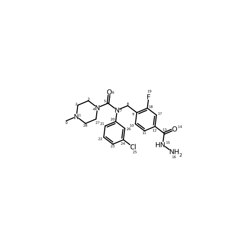 CN1CCN(C(=O)N(Cc2ccc(C(=O)NN)cc2F)c2cccc(Cl)c2)CC1